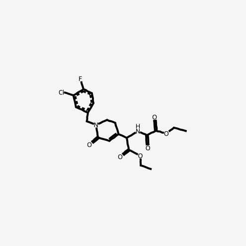 CCOC(=O)C(=O)NC(C(=O)OCC)C1=CC(=O)N(Cc2ccc(F)c(Cl)c2)CC1